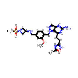 COc1cc(CNC2CN(S(C)(=O)=O)C2)ccc1Cn1ncc2nc(N)nc(CCc3noc(C)n3)c21